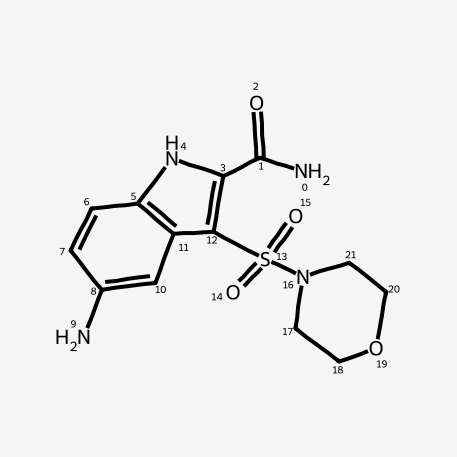 NC(=O)c1[nH]c2ccc(N)cc2c1S(=O)(=O)N1CCOCC1